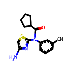 N#Cc1cccc(N(C(=O)C2CCCC2)c2nc(N)cs2)c1